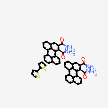 NC(=O)c1cc2cccc3c4cccc5cccc(c(c1C(N)=O)c23)c54.NC(=O)c1cc2cccc3c4cccc5cccc(c(c1C(N)=O)c23)c54.c1csc(-c2cccs2)c1